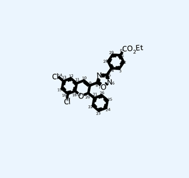 CCOC(=O)c1ccc(-c2noc(C3=Cc4cc(Cl)cc(Cl)c4OC3c3ccccc3)n2)cc1